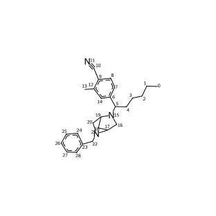 CCCCCC(c1ccc(C#N)c(C)c1)N1CC2CC1CN2Cc1ccccc1